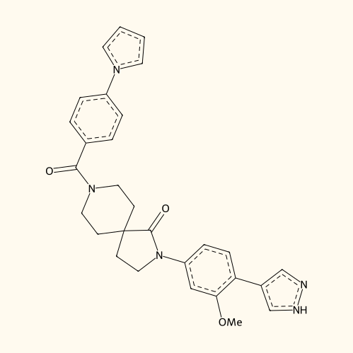 COc1cc(N2CCC3(CCN(C(=O)c4ccc(-n5cccc5)cc4)CC3)C2=O)ccc1-c1cn[nH]c1